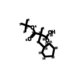 CC(C)(C)OC(=O)C(C)(CC1CCCCC1)C(=O)O